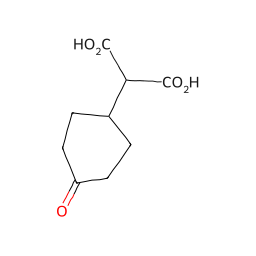 O=C1CCC(C(C(=O)O)C(=O)O)CC1